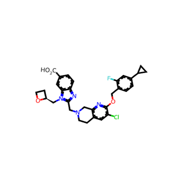 O=C(O)c1ccc2nc(CN3CCc4cc(Cl)c(OCc5ccc(C6CC6)cc5F)nc4C3)n(C[C@@H]3CCO3)c2c1